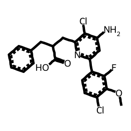 COc1c(Cl)ccc(-c2cc(N)c(Cl)c(CC(Cc3ccccc3)C(=O)O)n2)c1F